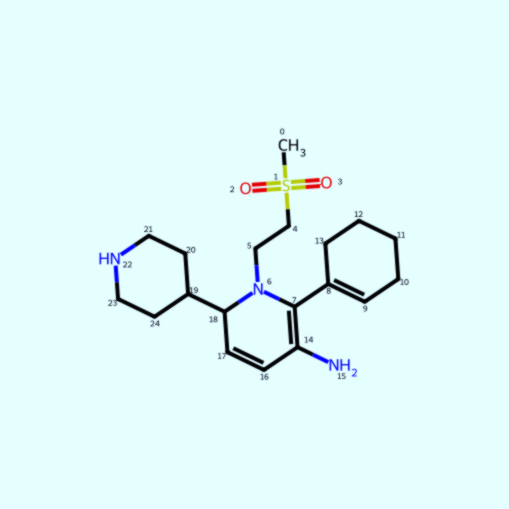 CS(=O)(=O)CCN1C(C2=CCCCC2)=C(N)C=CC1C1CCNCC1